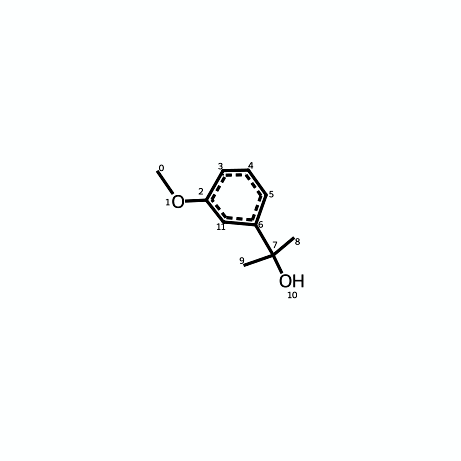 COc1[c]ccc(C(C)(C)O)c1